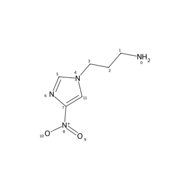 NCCCn1cnc([N+](=O)[O-])c1